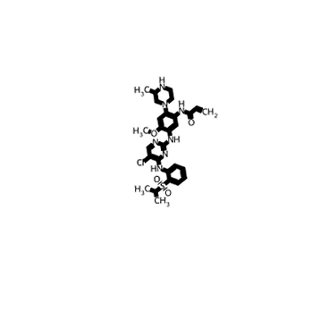 C=CC(=O)Nc1cc(Nc2ncc(Cl)c(Nc3ccccc3S(=O)(=O)C(C)C)n2)c(OC)cc1N1CCNC(C)C1